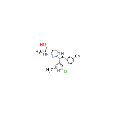 Cc1cc(-c2c(-c3cccc(C#N)c3)nn3ccc(N[C@@H](C)CO)nc23)cc(Cl)n1